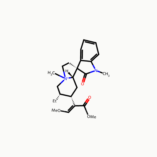 CC[C@@H]1C[N+]2(C)CC[C@]3(C(=O)N(C)c4ccccc43)[C@@H]2C[C@@H]1/C(=C\OC)C(=O)OC